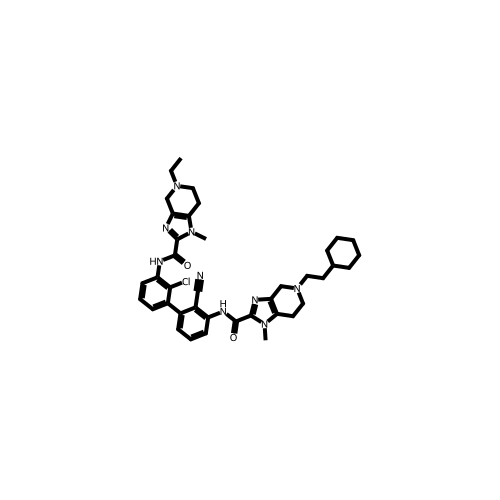 CCN1CCc2c(nc(C(=O)Nc3cccc(-c4cccc(NC(=O)c5nc6c(n5C)CCN(CCC5CCCCC5)C6)c4C#N)c3Cl)n2C)C1